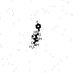 CNC(=O)c1c[nH]c2c(C(=O)NCc3ccc(F)cc3)ncnc12